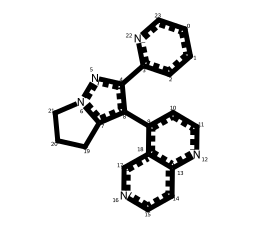 c1ccc(-c2nn3c(c2-c2ccnc4ccncc24)CCC3)nc1